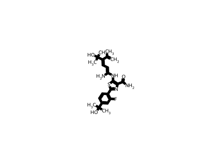 C=C(C)/C(=C\C=C(/N)Nc1sc(-c2ccc(C(C)(C)O)cc2F)nc1C(N)=O)C(C)(C)O